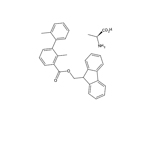 C[C@H](N)C(=O)O.Cc1ccccc1-c1cccc(C(=O)OCC2c3ccccc3-c3ccccc32)c1C